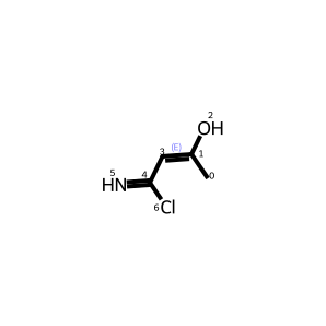 C/C(O)=C\C(=N)Cl